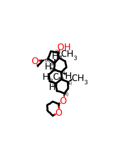 C[C@H]1C[C@@H](OC2CCCCO2)C[C@@H]2CC[C@H]3[C@@H]4[C@H](C5CO5)C[C@H](O)[C@@]4(C)CC[C@@H]3[C@]21C